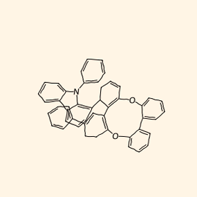 C1=CC2=C(C3=C(CCC(c4ccccc4)=C3)Oc3ccccc3-c3ccccc3O2)C(c2cccc3c4ccccc4n(-c4ccccc4)c23)C1